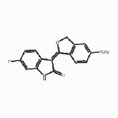 CNc1ccc2c(c1)COC2=C1C(=O)Nc2cc(F)ccc21